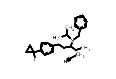 CC#N.CCC(CCc1ccc(C2(F)CC2)cc1)N(Cc1ccccc1)C(C)C